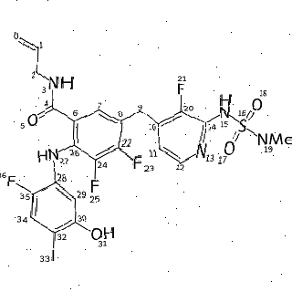 C=CCNC(=O)c1cc(Cc2ccnc(NS(=O)(=O)NC)c2F)c(F)c(F)c1Nc1cc(O)c(I)cc1F